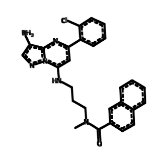 Bc1cnn2c(NCCCN(C)C(=O)c3ccc4ccccc4c3)cc(-c3ccccc3Cl)nc12